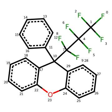 FC(F)(F)C(F)(F)C(F)(F)C1(c2ccccc2)c2ccccc2Oc2ccccc21